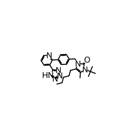 CCCCCc1c(C)n(C(C)(C)C)c(=O)n1Cc1ccc(-c2ncccc2-c2nnn[nH]2)cc1